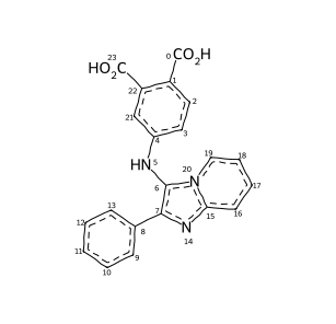 O=C(O)c1ccc(Nc2c(-c3ccccc3)nc3ccccn23)cc1C(=O)O